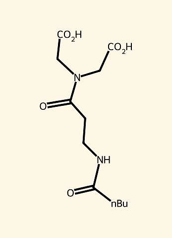 CCCCC(=O)NCCC(=O)N(CC(=O)O)CC(=O)O